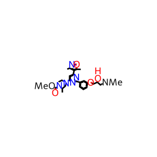 CNCC(O)COc1cccc(-c2nc(-c3c(C)noc3C)cc(N3CCN(C(=O)OC)C(C)C3)n2)c1